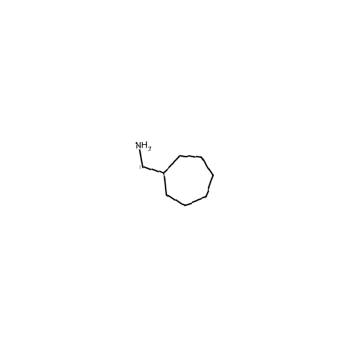 N[C]C1CCCCCC1